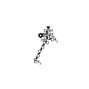 COCCOCCOCCOCCOC(=O)N[C@@H](CC(C)C)C(=O)N[C@@H](Cc1ccccc1)C(O)C(=O)NC1CC1